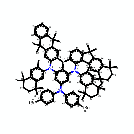 Cc1cc2c(cc1N1c3cc4c(cc3B3c5ccc6c(c5N(c5cc7c(cc5C)C(C)(C)CCC7(C)C)c5cc(N(c7ccc(C(C)(C)C)cc7)c7ccc(C(C)(C)C)cc7)cc1c53)-c1cc3c(cc1C6(C)C)C(C)(C)CCC3(C)C)C(C)(C)c1ccccc1C4(C)C)C(C)(C)CCC2(C)C